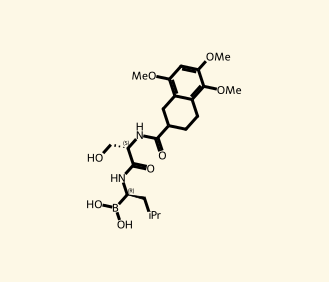 COc1cc(OC)c(OC)c2c1CC(C(=O)N[C@@H](CO)C(=O)N[C@@H](CC(C)C)B(O)O)CC2